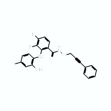 Cc1cc(I)ccc1Nc1c(C(=O)NOCC#Cc2ccccc2)ccc(F)c1F